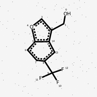 OCc1coc2ccc(C(F)(F)F)cc12